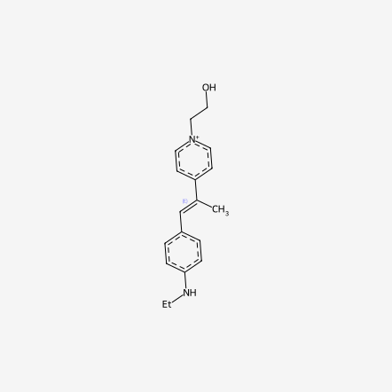 CCNc1ccc(/C=C(\C)c2cc[n+](CCO)cc2)cc1